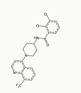 O=C(NC1CCN(c2ccnc3c(C(F)(F)F)cccc23)CC1)c1cccc(Cl)c1Cl